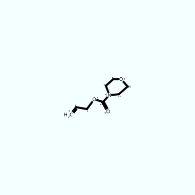 C=CCOC(=O)N1[CH]COCC1